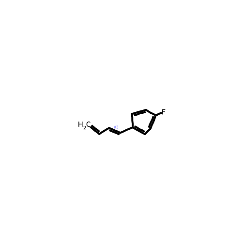 C=C/C=C/c1ccc(F)cc1